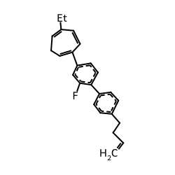 C=CCCc1ccc(-c2ccc(C3=CCC=C(CC)C=C3)cc2F)cc1